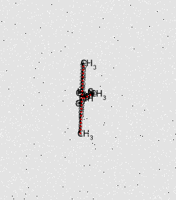 CCCCCCCCC=CCCCCCCCC(=O)OCC(COC(=O)CCCCCCCC=CCCCCCCCC)NC(=O)OCCN(C)C